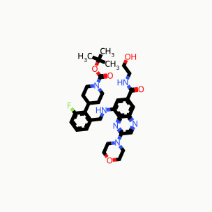 CC(C)(C)OC(=O)N1CCC(c2c(F)cccc2CNc2cc(C(=O)NCCO)cc3ncc(N4CCOCC4)nc23)CC1